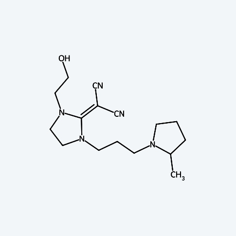 CC1CCCN1CCCN1CCN(CCO)C1=C(C#N)C#N